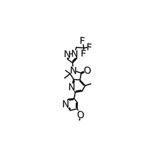 COc1cncc(-c2cc(C)c3c(n2)C(C)(C)N(c2cnn(CC(F)(F)F)c2)C3=O)c1